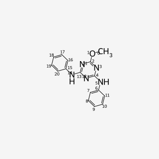 COc1nc(Nc2ccccc2)nc(Nc2ccccc2)n1